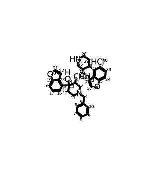 CC1CN(Cc2ccccc2)CCC1(O)c1cccc2occc12.C[C@@H]1CNCC[C@@H]1c1cccc2occc12.Cl